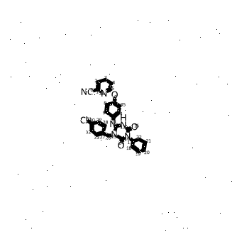 N#CC1=CCCC(Oc2ccc(/N=c3\[nH]c(=O)n(C4C=CC=CC4)c(=O)n3Cc3ccc(Cl)cc3)cc2)=N1